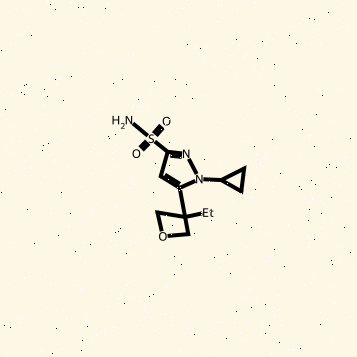 CCC1(c2cc(S(N)(=O)=O)nn2C2CC2)COC1